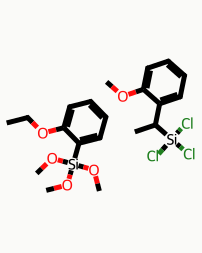 CCOc1ccccc1[Si](OC)(OC)OC.COc1ccccc1C(C)[Si](Cl)(Cl)Cl